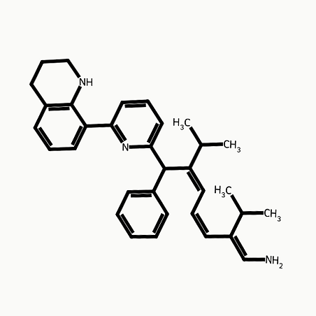 CC(C)/C(=C/C=C\C(=C\N)C(C)C)C(c1ccccc1)c1cccc(-c2cccc3c2NCCC3)n1